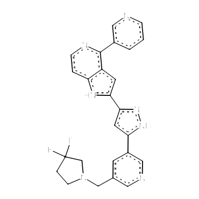 FC1(F)CCN(Cc2cncc(-c3cc(-c4cc5c(-c6cccnc6)nccc5[nH]4)n[nH]3)c2)C1